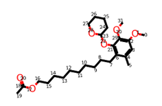 COc1cc(C)c(CCCCCCCCCCOC(C)=O)c(OC2CCCCO2)c1OC